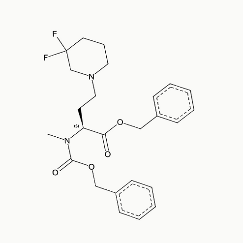 CN(C(=O)OCc1ccccc1)[C@@H](CCN1CCCC(F)(F)C1)C(=O)OCc1ccccc1